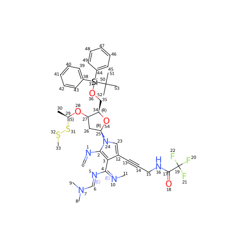 C=Nc1c(C(/N=C/N(C)C)=N\C)c(C#CCNC(=O)C(F)(F)F)cn1[C@H]1CC(O[C@H](C)SSC)[C@@H](CO[Si](c2ccccc2)(c2ccccc2)C(C)(C)C)O1